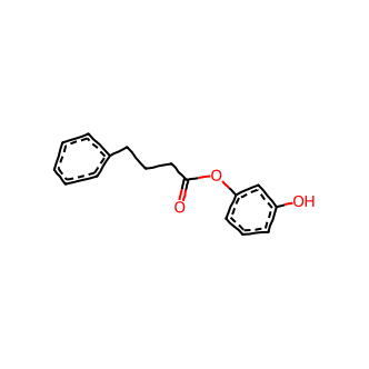 O=C(CCCc1ccccc1)Oc1cccc(O)c1